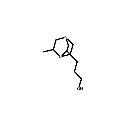 CC1CN2CCN1C(CCCO)C2